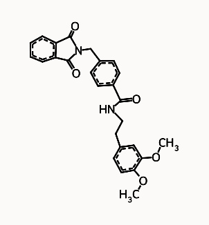 COc1ccc(CCNC(=O)c2ccc(CN3C(=O)c4ccccc4C3=O)cc2)cc1OC